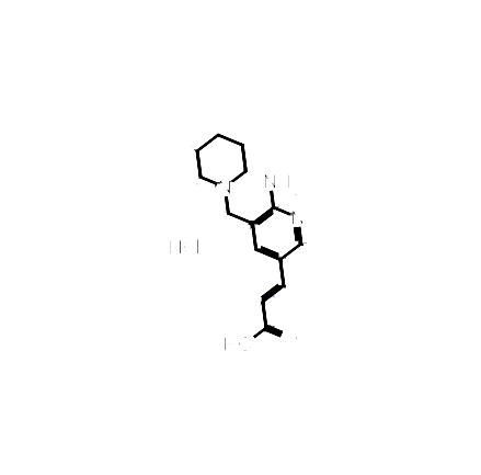 Cl.Nc1ncc(/C=C/C(=O)O)cc1CN1CCCCC1